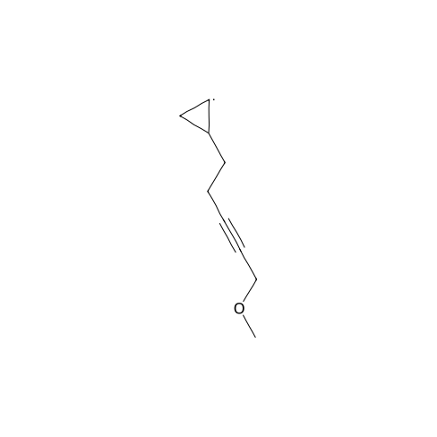 COCC#CCCC1[CH]C1